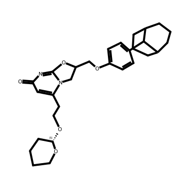 O=c1cc(CCO[C@H]2CCCCO2)n2c(n1)OC(COc1ccc(C3C4CCCC3CCC4)cc1)C2